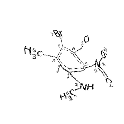 CNc1cc(C)c(Br)c(Cl)c1[N+](=O)[O-]